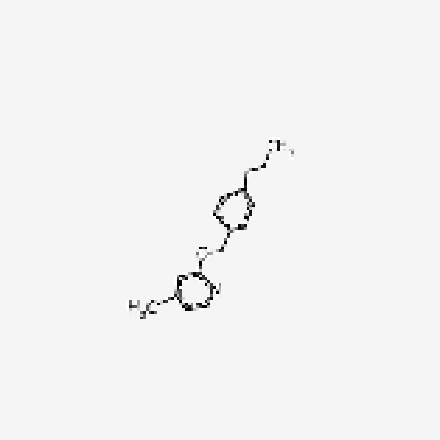 CCCc1ccc(COc2cc(C)ccn2)cc1